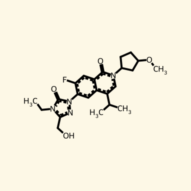 CCn1c(CO)nn(-c2cc3c(C(C)C)cn(C4CCC(OC)C4)c(=O)c3cc2F)c1=O